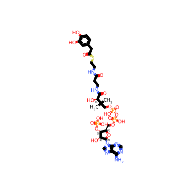 CC(C)(COP(=O)(O)OP(=O)(O)OC[C@H]1O[C@@H](n2cnc3c(N)ncnc32)[C@H](O)[C@@H]1OP(=O)(O)O)[C@@H](O)C(=O)NCCC(=O)NCCSC(=O)Cc1ccc(O)c(O)c1